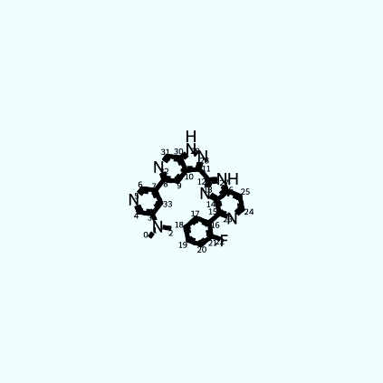 CN(C)c1cncc(-c2cc3c(-c4nc5c(-c6ccccc6F)nccc5[nH]4)n[nH]c3cn2)c1